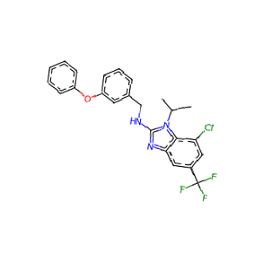 CC(C)n1c(NCc2cccc(Oc3ccccc3)c2)nc2cc(C(F)(F)F)cc(Cl)c21